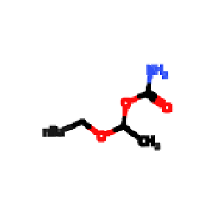 CCCCCOC(C)OC(N)=O